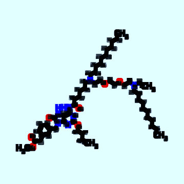 CCCCCCCCCCCN(CC)CCOCCOCCN(CCCCCCCCCCC)CCCCCC(=O)Nc1nc(OCCCC)nc2c1[nH]c(=O)n2Cc1cccc(CC(=O)OC)c1